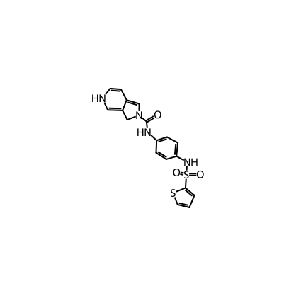 O=C(Nc1ccc(NS(=O)(=O)c2cccs2)cc1)N1C=C2C=CNC=C2C1